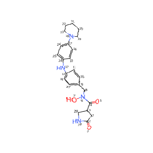 O=C1CC(C(=O)N(O)Cc2ccc(Nc3ccc(N4CCCCC4)cc3)cc2)CN1